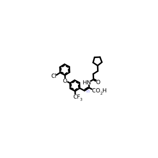 O=C(CCC1CCCC1)N/C(=C\c1ccc(Oc2ccccc2Cl)cc1C(F)(F)F)C(=O)O